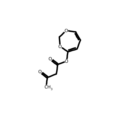 CC(=O)CC(=O)OC1=CC=COCO1